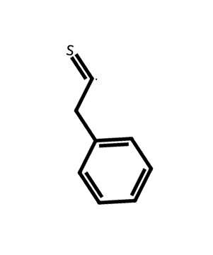 S=[C]Cc1ccccc1